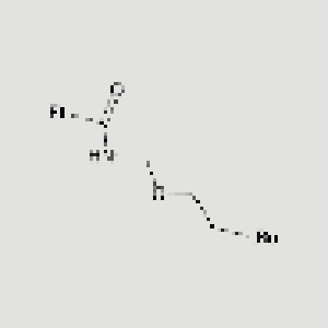 CCC(=O)NCOCCC(C)(C)C